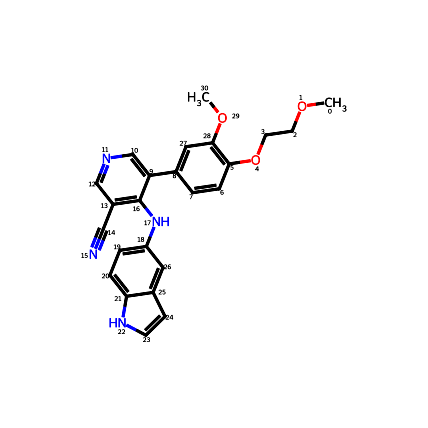 COCCOc1ccc(-c2cncc(C#N)c2Nc2ccc3[nH]ccc3c2)cc1OC